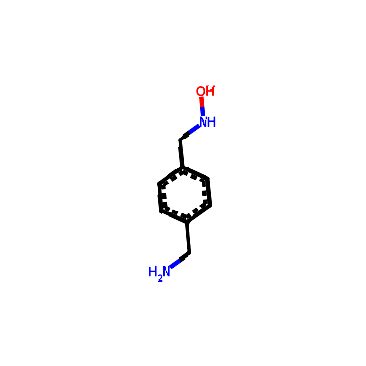 NCc1ccc(CNO)cc1